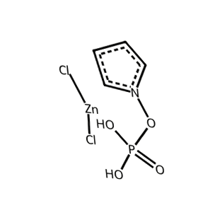 O=P(O)(O)On1cccc1.[Cl][Zn][Cl]